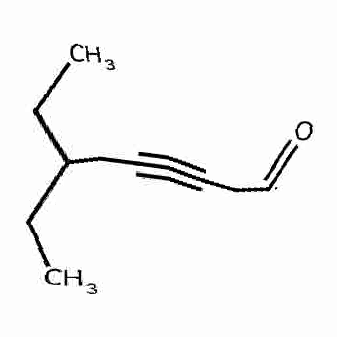 CCC(C#C[C]=O)CC